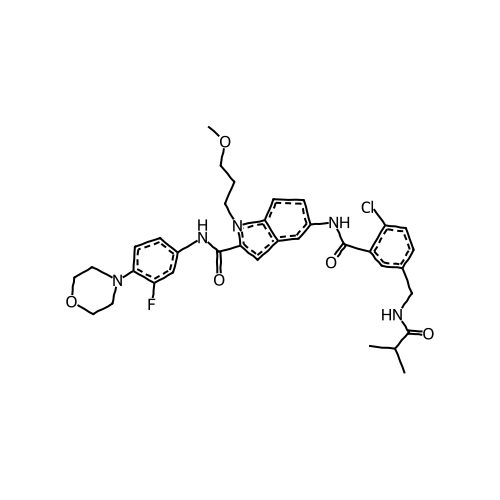 COCCCn1c(C(=O)Nc2ccc(N3CCOCC3)c(F)c2)cc2cc(NC(=O)c3cc(CNC(=O)C(C)C)ccc3Cl)ccc21